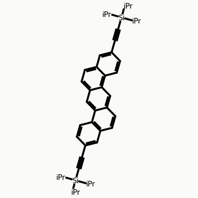 CC(C)[Si](C#Cc1ccc2c(ccc3cc4c(ccc5cc(C#C[Si](C(C)C)(C(C)C)C(C)C)ccc54)cc32)c1)(C(C)C)C(C)C